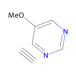 C#C.COc1cncnc1